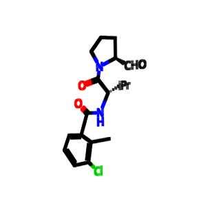 Cc1c(Cl)cccc1C(=O)N[C@H](C(=O)N1CCC[C@H]1C=O)C(C)C